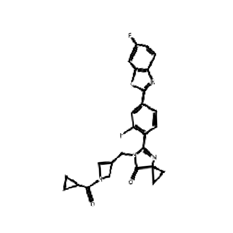 O=C(C1CC1)N1CC(CN2C(=O)C3(CC3)N=C2c2ccc(-c3nc4ccc(F)cc4s3)cc2F)C1